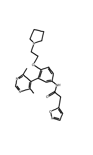 Cc1ncnc(C)c1-c1cc(NC(=O)Cc2ccno2)ccc1OCCN1CCCC1